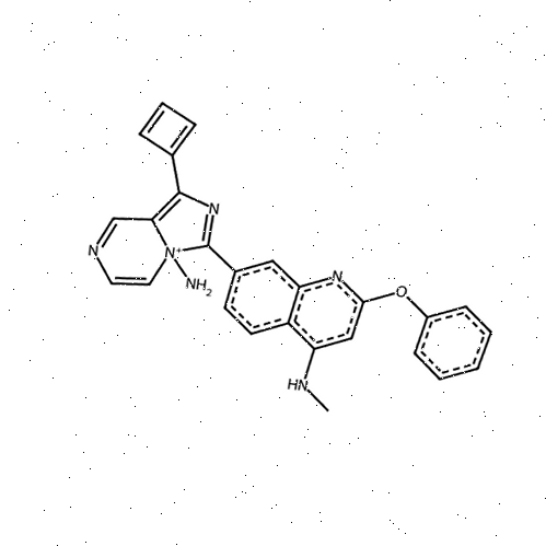 CNc1cc(Oc2ccccc2)nc2cc(C3=NC(C4=CC=C4)=C4C=NC=C[N+]34N)ccc12